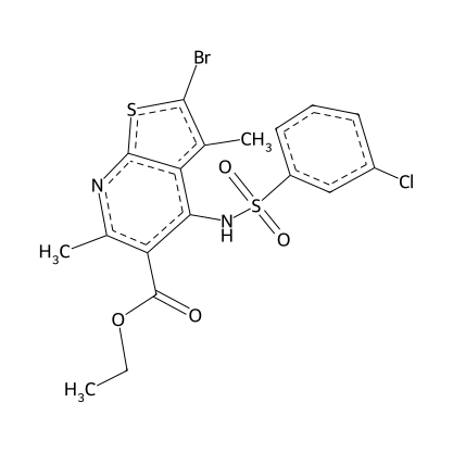 CCOC(=O)c1c(C)nc2sc(Br)c(C)c2c1NS(=O)(=O)c1cccc(Cl)c1